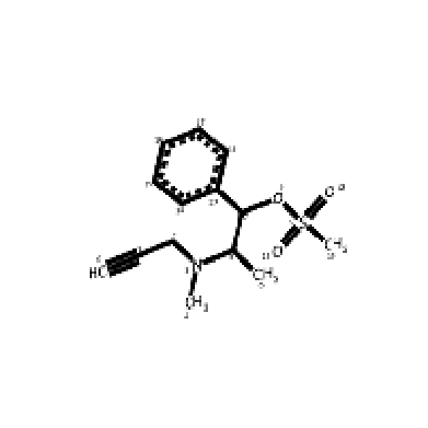 C#CCN(C)C(C)C(OS(C)(=O)=O)c1ccccc1